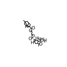 CC12CC3CC(C)(C1)CC(C(=O)OCCOC(=O)[C@H]1[C@@H]4C[C@H](F)[C@@](N)(C(=O)O)[C@@H]41)(C3)C2